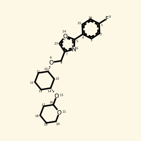 Fc1ccc(-c2nc(CO[C@H]3CCC[C@@H](OC4CCCCO4)C3)co2)cc1